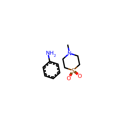 CN1CCS(=O)(=O)CC1.Nc1ccccc1